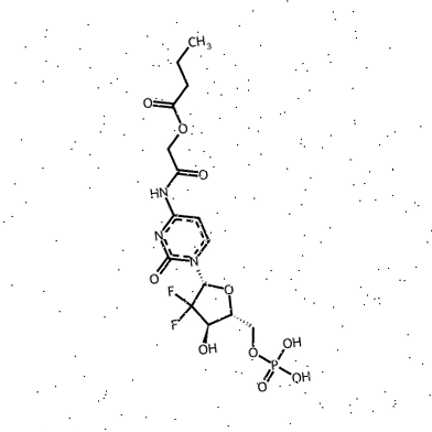 CCCC(=O)OCC(=O)Nc1ccn([C@@H]2O[C@H](COP(=O)(O)O)[C@@H](O)C2(F)F)c(=O)n1